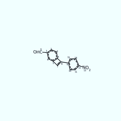 O=Cc1ccc2c(c1)C=C2c1ccc([N+](=O)[O-])cc1